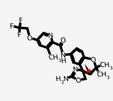 Cc1cc(OCC(F)(F)F)cnc1C(=O)Nc1ccc2c(c1)C1(COC(N)=N1)C1(COC1)C(C)(C)O2